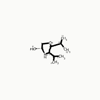 CC(C)C1N[C@H](O)COC1C(C)C